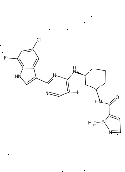 Cn1nccc1C(=O)NC1CCC[C@H](Nc2nc(-c3c[nH]c4c(F)cc(Cl)cc34)ncc2F)C1